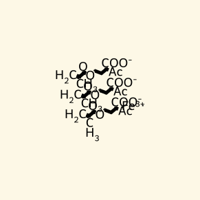 C=C(C)C(=O)OCCC(C(C)=O)C(=O)[O-].C=C(C)C(=O)OCCC(C(C)=O)C(=O)[O-].C=C(C)C(=O)OCCC(C(C)=O)C(=O)[O-].[Fe+3]